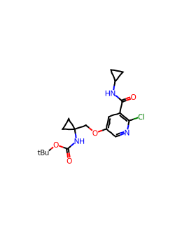 CC(C)(C)OC(=O)NC1(COc2cnc(Cl)c(C(=O)NC3CC3)c2)CC1